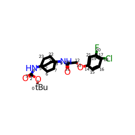 CC(C)(C)OC(=O)NC12CCC(NC(=O)COc3ccc(Cl)c(F)c3)(CC1)CC2